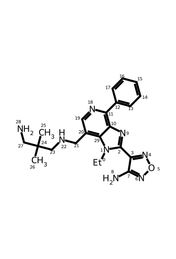 CCn1c(-c2nonc2N)nc2c(-c3ccccc3)ncc(CNCC(C)(C)CN)c21